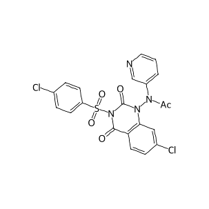 CC(=O)N(c1cccnc1)n1c(=O)n(S(=O)(=O)c2ccc(Cl)cc2)c(=O)c2ccc(Cl)cc21